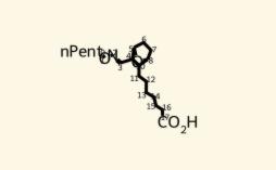 CCCCCON=CC1C2CCC(O2)C1CCCCCCC(=O)O